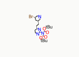 CC(C)(C)OC(=O)N(C(=O)OC(C)(C)C)c1nccc(C=Cc2cncc(Br)c2)n1